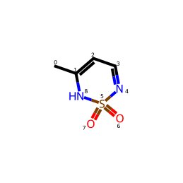 CC1=CC=NS(=O)(=O)N1